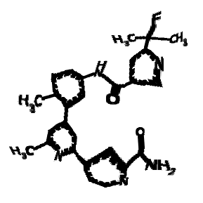 Cc1cc(-c2cc(NC(=O)c3ccnc(C(C)(C)F)c3)ccc2C)cc(-c2ccnc(C(N)=O)c2)n1